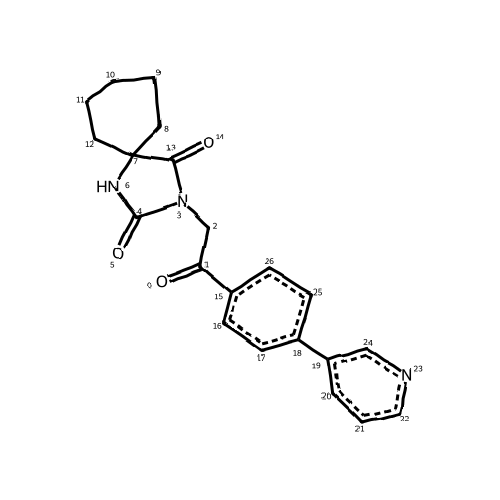 O=C(CN1C(=O)NC2(CCCCC2)C1=O)c1ccc(-c2cccnc2)cc1